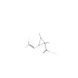 COC(=O)C1(C)C(C)C1C=C(C)F